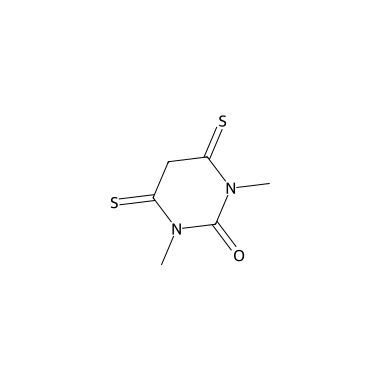 CN1C(=O)N(C)C(=S)CC1=S